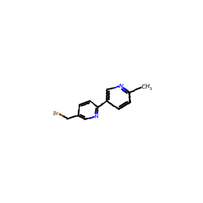 Cc1ccc(-c2ccc(CBr)cn2)cn1